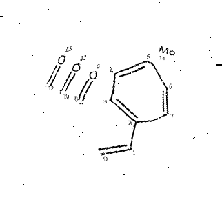 C=Cc1ccccc1.[C]=O.[C]=O.[C]=O.[Mo]